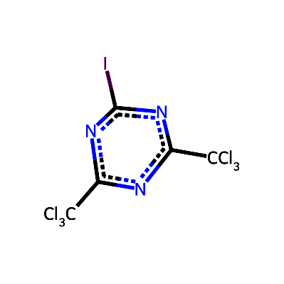 ClC(Cl)(Cl)c1nc(I)nc(C(Cl)(Cl)Cl)n1